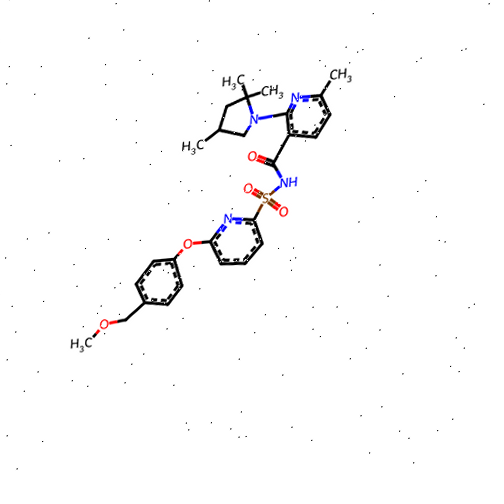 COCc1ccc(Oc2cccc(S(=O)(=O)NC(=O)c3ccc(C)nc3N3CC(C)CC3(C)C)n2)cc1